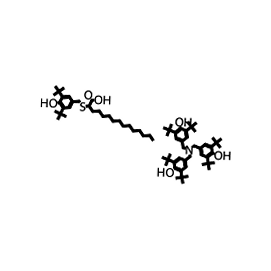 CC(C)(C)c1cc(CN(Cc2cc(C(C)(C)C)c(O)c(C(C)(C)C)c2)Cc2cc(C(C)(C)C)c(O)c(C(C)(C)C)c2)cc(C(C)(C)C)c1O.CCCCCCCCCCCCCC(SCc1cc(C(C)(C)C)c(O)c(C(C)(C)C)c1)C(=O)O